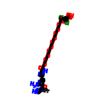 CCCN(Cc1cc[nH]n1)C(=O)C1=Cc2ccc(-c3cnc(CNC(=O)CCOCCOCCOCCOCCOCCOCCOCCOCCOCCOCCC(=O)Oc4c(Cl)cc(S(=O)O)cc4Cl)nc3)cc2N=C(N)C1